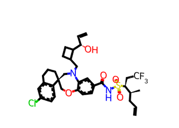 C=CC[C@H](C)[C@H](CC(F)(F)F)S(=O)(=O)NC(=O)c1ccc2c(c1)N(CC1CCC1[C@@H](O)C=C)C[C@@]1(CCCc3cc(Cl)ccc31)CO2